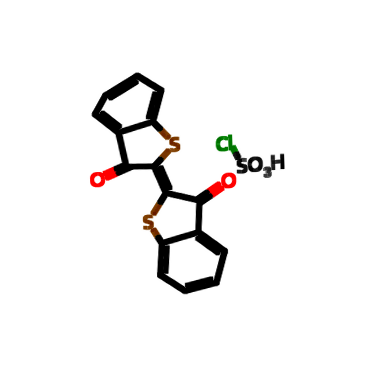 O=C1C(=C2Sc3ccccc3C2=O)Sc2ccccc21.O=S(=O)(O)Cl